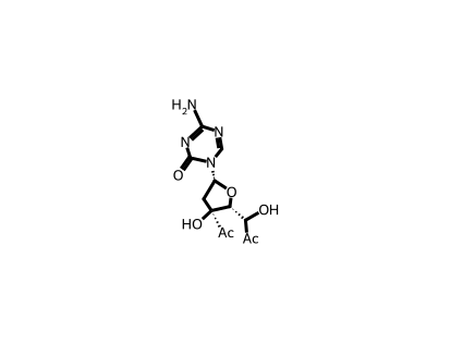 CC(=O)C(O)[C@H]1O[C@@H](n2cnc(N)nc2=O)C[C@@]1(O)C(C)=O